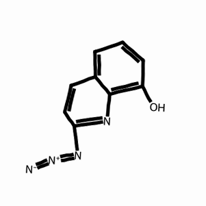 [N-]=[N+]=Nc1ccc2cccc(O)c2n1